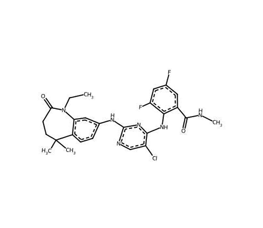 CCN1C(=O)CCC(C)(C)c2ccc(Nc3ncc(Cl)c(Nc4c(F)cc(F)cc4C(=O)NC)n3)cc21